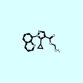 CCOC(=O)c1cnn(-c2cccc3cccnc23)c1C1CC1